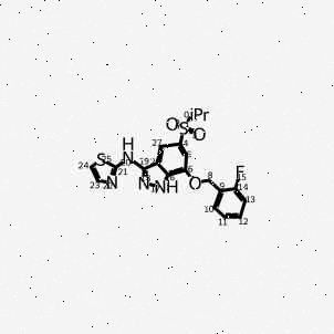 CC(C)S(=O)(=O)c1cc(OCc2ccccc2F)c2[nH]nc(Nc3nccs3)c2c1